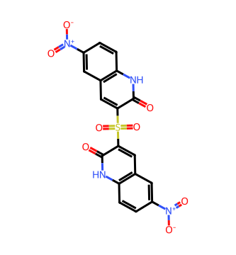 O=c1[nH]c2ccc([N+](=O)[O-])cc2cc1S(=O)(=O)c1cc2cc([N+](=O)[O-])ccc2[nH]c1=O